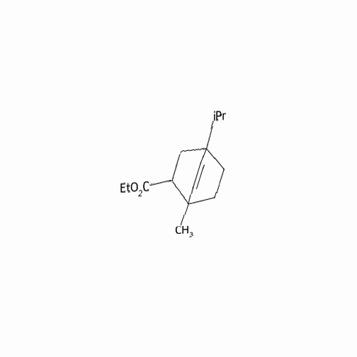 CCOC(=O)C1CC2(C(C)C)C=CC1(C)CC2